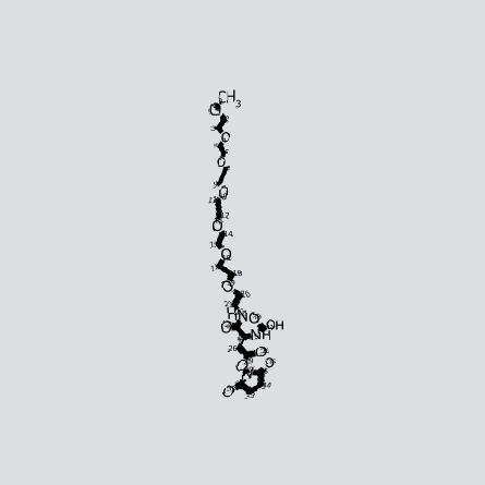 COCCOCCOCCOCCOCCOCCOCCNC(=O)[C@H](CC(=O)ON1C(=O)CCC1=O)NC(=O)O